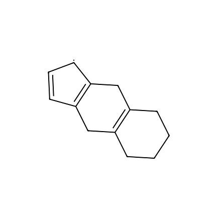 [CH]1C=CC2=C1CC1=C(CCCC1)C2